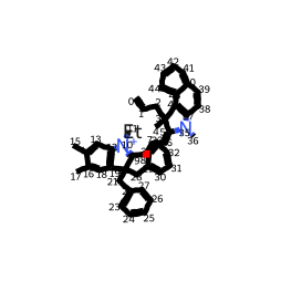 C=CCC1(C)/C(=C\C=C\C2=[N+](CC)c3cc(C)c(C)cc3C2(Cc2ccccc2)Cc2ccccc2)N(C)c2ccc3ccccc3c21